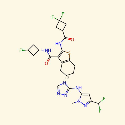 Cn1nc(C(F)F)cc1Nc1nncn1[C@H]1CCc2sc(NC(=O)C3CC(F)(F)C3)c(C(=O)N[C@H]3C[C@H](F)C3)c2C1